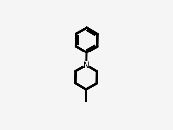 CC1CCN(c2ccccc2)CC1